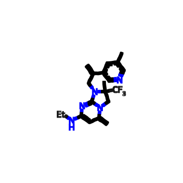 C=C(CN1C2=NC(NCC)=CC(=C)N2CC1(C)C(F)(F)F)c1cncc(C)c1